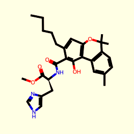 CCCCCc1cc2c(c(O)c1C(=O)N[C@@H](Cc1c[nH]cn1)C(=O)OC)-c1cc(C)ccc1C(C)(C)O2